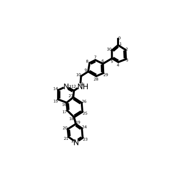 Cc1cccc(-c2ccc(CNc3nccc4cc(-c5ccncc5)ccc34)cc2)c1